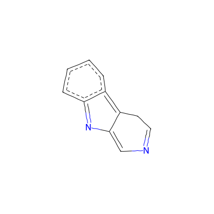 C1=NC=C2N=c3ccccc3=C2C1